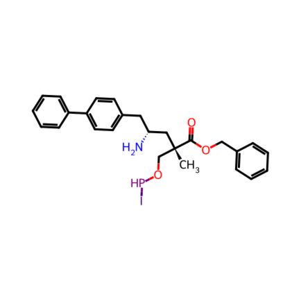 C[C@@](COPI)(C[C@H](N)Cc1ccc(-c2ccccc2)cc1)C(=O)OCc1ccccc1